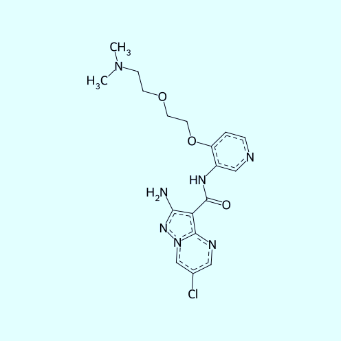 CN(C)CCOCCOc1ccncc1NC(=O)c1c(N)nn2cc(Cl)cnc12